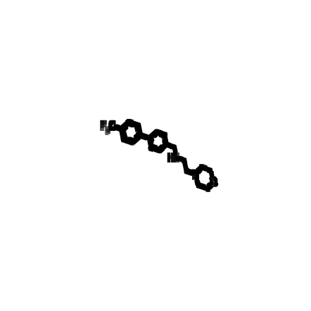 FC(F)(F)c1ccc(-c2ccc(CNCCN3CCOCC3)cc2)cc1